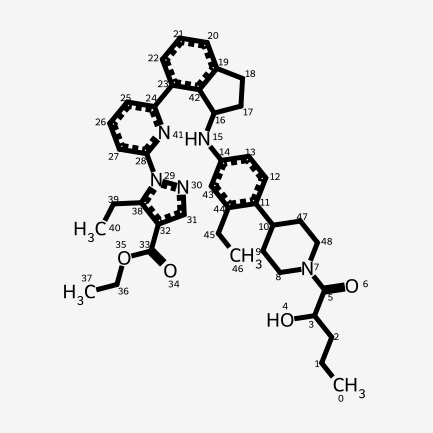 CCCC(O)C(=O)N1CCC(c2ccc(NC3CCc4cccc(-c5cccc(-n6ncc(C(=O)OCC)c6CC)n5)c43)cc2CC)CC1